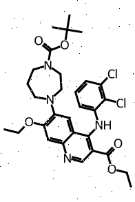 CCOC(=O)c1cnc2cc(OCC)c(N3CCCN(C(=O)OC(C)(C)C)CC3)cc2c1Nc1cccc(Cl)c1Cl